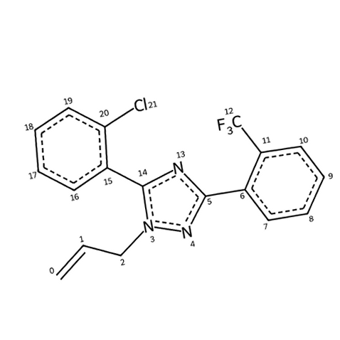 C=CCn1nc(-c2ccccc2C(F)(F)F)nc1-c1ccccc1Cl